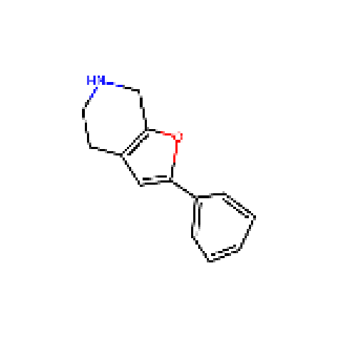 c1ccc(-c2cc3c(o2)CNCC3)cc1